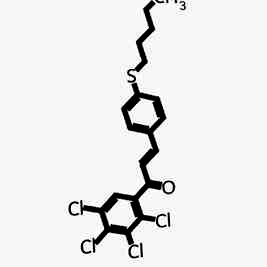 CCCCCSc1ccc(C=CC(=O)c2cc(Cl)c(Cl)c(Cl)c2Cl)cc1